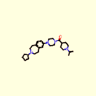 CC(C)N1CCC(C(=O)N2CCN(c3ccc4c(c3)CCN(C3CCCC3)CC4)CC2)CC1